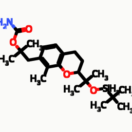 Cc1c(CC(C)(C)OC(N)=O)ccc2c1OC(C(C)(C)O[SiH2]C(C)(C)C)CC2